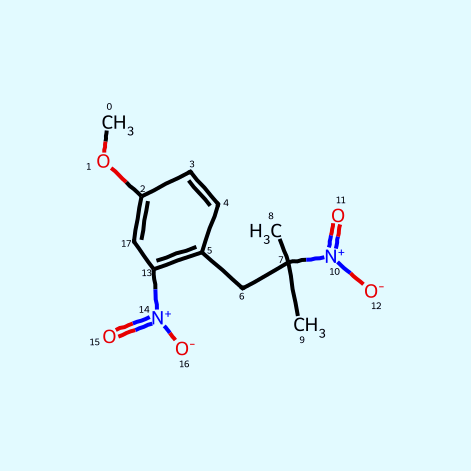 COc1ccc(CC(C)(C)[N+](=O)[O-])c([N+](=O)[O-])c1